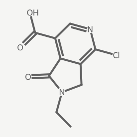 CCN1Cc2c(Cl)ncc(C(=O)O)c2C1=O